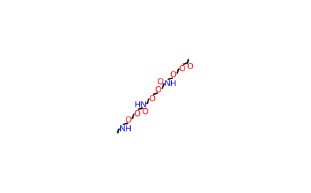 CCNCCOCCOCC(=O)NCCOCCOCC(=O)NCCOCCOCC(C)=O